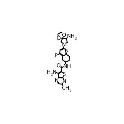 Cc1cnc2c(N)c(C(=O)NC3CCc4nc(N5CC(N)C6(C5)OCCO6)cc(F)c4C3)sc2n1